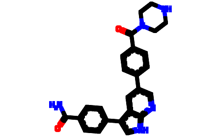 NC(=O)c1ccc(-c2c[nH]c3ncc(-c4ccc(C(=O)N5CCNCC5)cc4)cc23)cc1